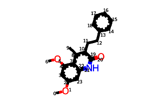 COc1cc(OC)c2c(C)c(CCc3ccccc3)c(=O)[nH]c2c1